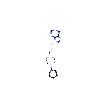 Fc1ccc(N2CCN(CCCn3cnc4c(Cl)ncnc43)CC2)cc1